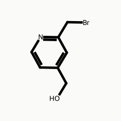 OCc1ccnc(CBr)c1